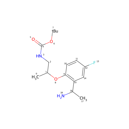 CC(CNC(=O)OC(C)(C)C)Oc1ccc(F)cc1C(C)N